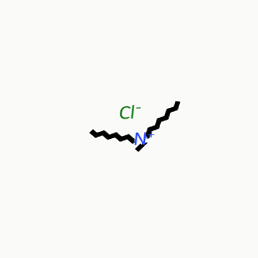 CCCCCCCC[N+](C)(CC)CCCCCCCC.[Cl-]